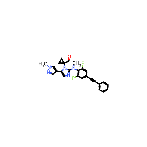 CN(c1c(F)cc(C#Cc2ccccc2)cc1F)c1ncc(-c2cnn(C)c2)n1C1(C=O)CC1